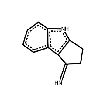 N=C1CCc2[nH]c3ccccc3c21